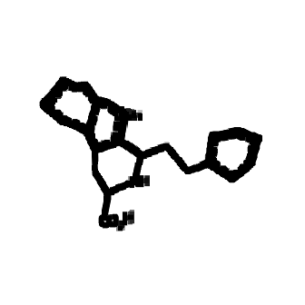 O=C(O)C1Cc2c([nH]c3ccccc23)C(CCc2ccccc2)N1